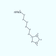 CCCCCCCCCCCCC1COCO1